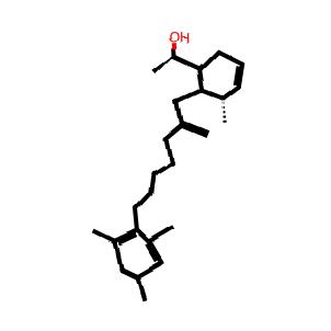 C=C(CCCCCC1=C(C)CC(C)C=C1C)CC1C([C@@H](C)O)CC=C[C@@H]1C